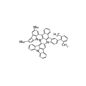 Cc1cccc(C)c1-c1ccc2c(c1)c1c3ccccc3c3c4c1n2-c1cc2c5ccccc5n5c6ccccc6c(c1B4n1c4ccc(C(C)(C)C)cc4c4cc(C(C)(C)C)cc-3c41)c25